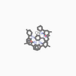 Cc1ccc2c(c1)c1ccccc1n2-c1c(C#N)c(-n2c3ccccc3c3cc(C)ccc32)c(-n2c3ccccc3c3cc(C)ccc32)c(-n2c3ccccc3c3cc(C)ccc32)c1-c1cccc(C)n1